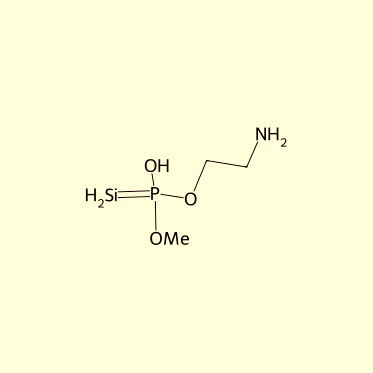 COP(O)(=[SiH2])OCCN